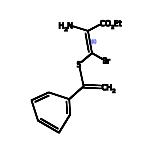 C=C(S/C(Br)=C(\N)C(=O)OCC)c1ccccc1